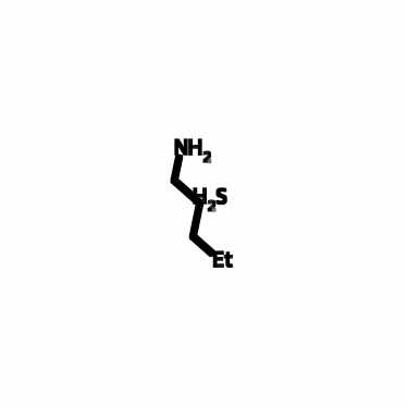 CCCCCN.S